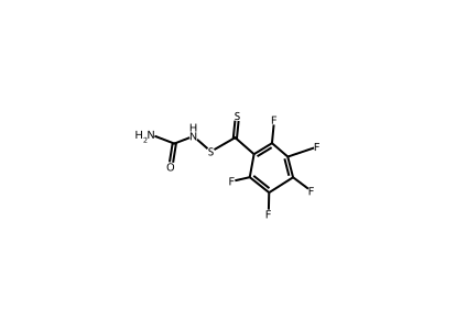 NC(=O)NSC(=S)c1c(F)c(F)c(F)c(F)c1F